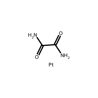 NC(=O)C(N)=O.[Pt]